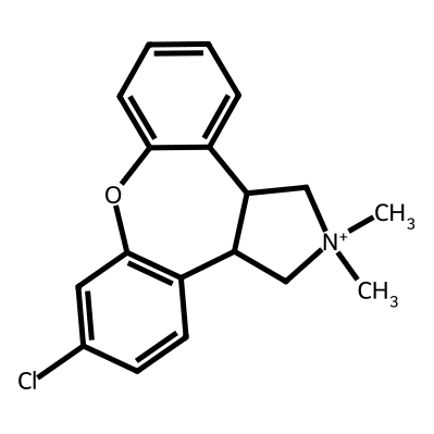 C[N+]1(C)CC2c3ccccc3Oc3cc(Cl)ccc3C2C1